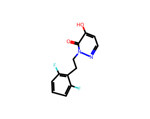 O=c1c(O)ccnn1CCc1c(F)cccc1F